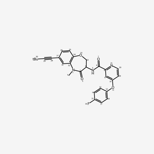 CN1C(=O)C(NC(=O)c2cc(Oc3ccc(F)cc3)ccn2)COc2ccc(C#CC(C)(C)C)cc21